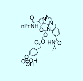 CCCNC(=O)c1cn2ncnc(N(C(=O)OCOC(=O)Cc3ccc(OP(=O)(O)O)cc3)c3cc(C(=O)NC4CC4)ccc3C)c2c1C